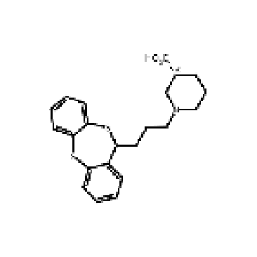 O=C(O)[C@@H]1CCCN(CCCC2Sc3ccccc3Sc3ccccc32)C1